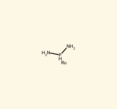 NPN.[Ru]